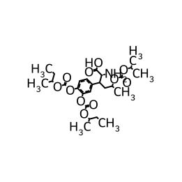 CCC(C)OC(=O)Oc1ccc(C(CC(C)OC(=O)OC(C)C)[C@H](N)C(=O)O)cc1OC(=O)OC(C)CC